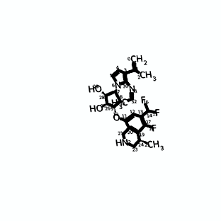 C=C(C)c1ccn([C@@H]2C[C@H](Oc3cc(C(F)F)c(F)c4c3CNC[C@@H]4C)[C@@H](O)[C@H]2O)c1/N=C\C